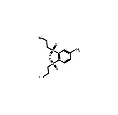 Nc1ccc(S(=O)(=O)CCO)c(S(=O)(=O)CCO)c1